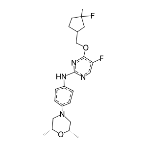 C[C@@H]1CN(c2ccc(Nc3ncc(F)c(OCC4CCC(C)(F)C4)n3)cc2)C[C@H](C)O1